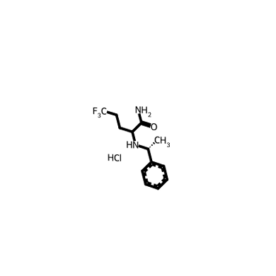 C[C@@H](NC(CCC(F)(F)F)C(N)=O)c1ccccc1.Cl